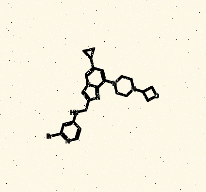 Brc1cc(NCc2cn3cc(C4CC4)cc(N4CCN(C5COC5)CC4)c3n2)ccn1